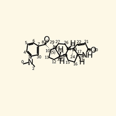 CN(C)c1cccc(C(=O)[C@H]2CC[C@H]3[C@@H]4CC[C@H]5NC(=O)C=C[C@]5(C)[C@H]4CC[C@]23C)c1